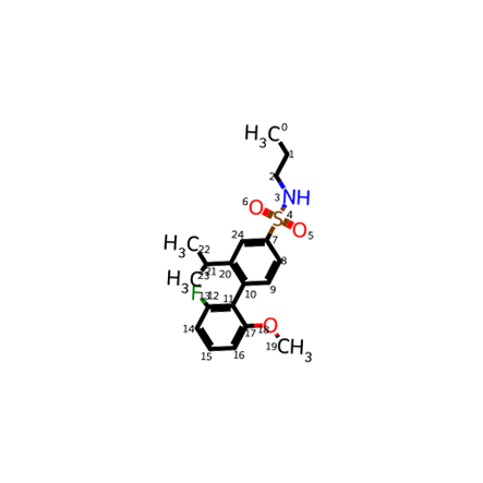 CCCNS(=O)(=O)c1ccc(-c2c(F)cccc2OC)c(C(C)C)c1